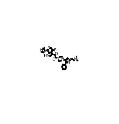 CN(C)CCn1cc(N2CCN(C(=O)C(=O)c3c[nH]c4c(-n5ccnn5)ncc(F)c34)CC2)c(-c2ccccc2)n1